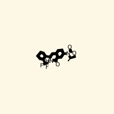 C[C@@H]1COC(=O)N1c1ccc2cc(-c3ccccc3C(F)(F)F)[nH]c(=O)c2c1